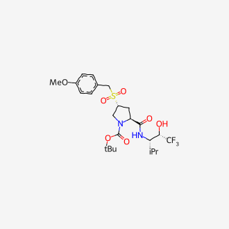 COc1ccc(CS(=O)(=O)[C@@H]2C[C@@H](C(=O)N[C@@H](C(C)C)[C@H](O)C(F)(F)F)N(C(=O)OC(C)(C)C)C2)cc1